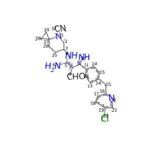 N#CN1CC(N/C(N)=C(/C=O)C(=N)c2ccc(Cc3ccc(Cl)cn3)cc2)CCC12CC2